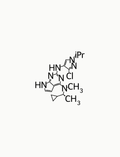 CC(C)n1cc(Nc2nc(N(C)[C@@H](C)C3CC3)c3cc[nH]c3n2)c(Cl)n1